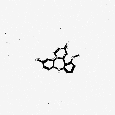 COc1cccc2c1-c1cc(=O)ccn1C1C=C(Cl)C=CC1O2